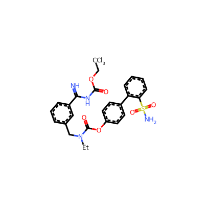 CCN(Cc1cccc(C(=N)NC(=O)OCC(Cl)(Cl)Cl)c1)C(=O)Oc1ccc(-c2ccccc2S(N)(=O)=O)cc1